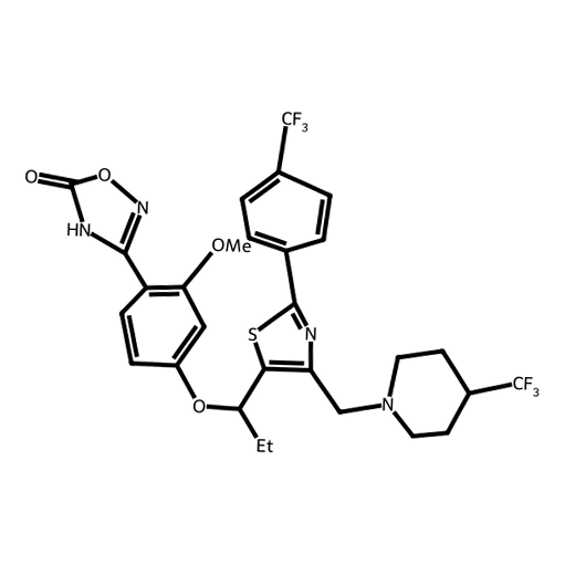 CCC(Oc1ccc(-c2noc(=O)[nH]2)c(OC)c1)c1sc(-c2ccc(C(F)(F)F)cc2)nc1CN1CCC(C(F)(F)F)CC1